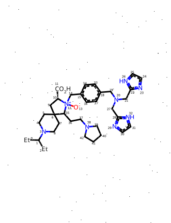 CCC(CC)N1CCC2(CC1)C[C@@H](C(=O)O)[N+]([O-])(Cc1ccc(CN(Cc3ncc[nH]3)Cc3ncc[nH]3)cc1)C2CCN1CCCC1